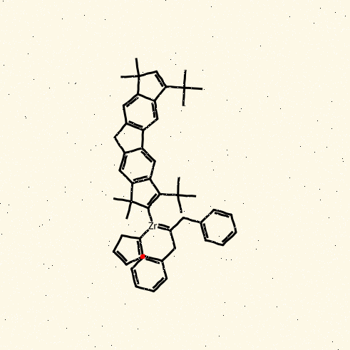 CC(C)(C)C1=CC(C)(C)c2cc3c(cc21)-c1cc2c(cc1C3)C(C)(C)[C]([Zr]([C]1=CC=CC1)=[C](Cc1ccccc1)Cc1ccccc1)=C2C(C)(C)C